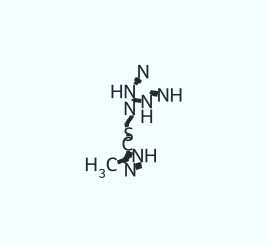 Cc1nc[nH]c1CSCC/N=C(/NC#N)NC=N